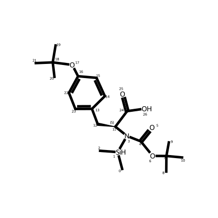 C[SiH](C)N(C(=O)OC(C)(C)C)[C@@H](Cc1ccc(OC(C)(C)C)cc1)C(=O)O